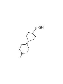 CN1CCN(C2CCC(SS)CC2)CC1